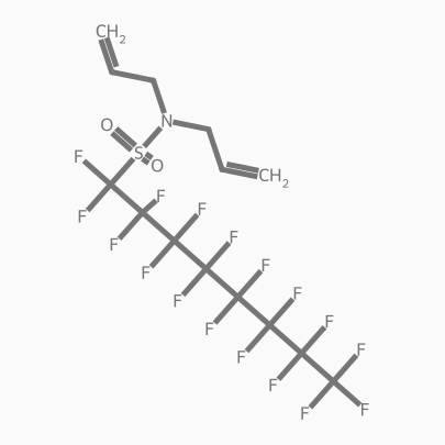 C=CCN(CC=C)S(=O)(=O)C(F)(F)C(F)(F)C(F)(F)C(F)(F)C(F)(F)C(F)(F)C(F)(F)C(F)(F)F